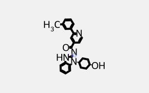 Cc1cccc(-c2cc(C(=O)/N=c3\[nH]c4ccccc4n3[C@H]3CC[C@@H](O)CC3)ccn2)c1